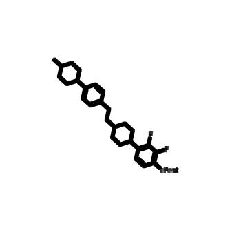 CCCCCc1ccc(C2CCC(CCc3ccc(C4CCC(C)CC4)cc3)CC2)c(F)c1F